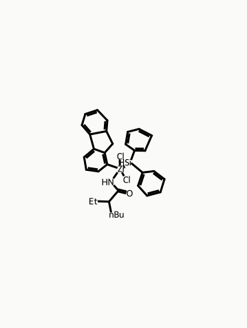 CCCCC(CC)C(=O)[NH][Zr]([Cl])([Cl])([c]1cccc2c1Cc1ccccc1-2)[SiH](c1ccccc1)c1ccccc1